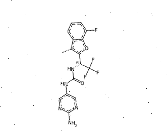 Cc1c([C@@H](NC(=O)Nc2cnc(N)nc2)C(F)(F)F)oc2c(F)cccc12